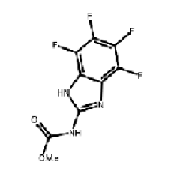 COC(=O)Nc1nc2c(F)c(F)c(F)c(F)c2[nH]1